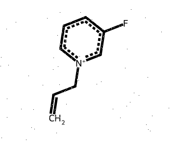 C=CC[n+]1cccc(F)c1